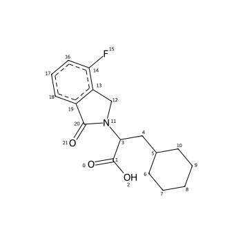 O=C(O)C(CC1CCCCC1)N1Cc2c(F)cccc2C1=O